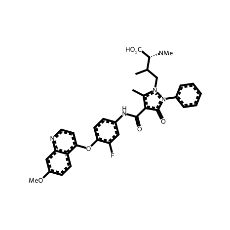 CN[C@@H](C(=O)O)C(C)Cn1c(C)c(C(=O)Nc2ccc(Oc3ccnc4cc(OC)ccc34)c(F)c2)c(=O)n1-c1ccccc1